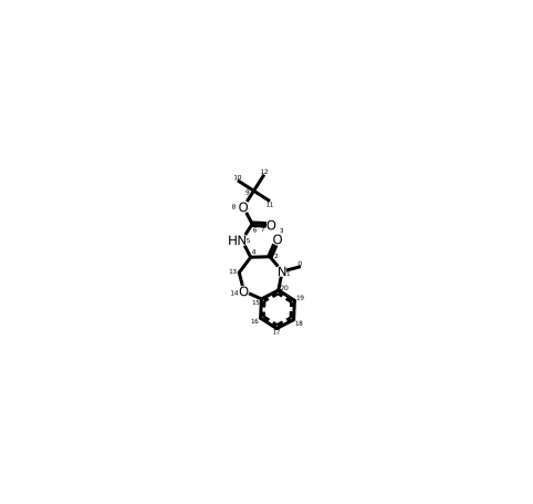 CN1C(=O)C(NC(=O)OC(C)(C)C)COc2ccccc21